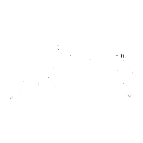 N#Cc1ccc2c(ccn2C2=CC(CCCCc3c[nH]c4ccc(C#N)cc34)NCC2)c1